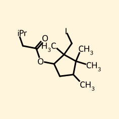 CC(C)CC(=O)OC1CC(C)C(C)(C)C1(C)CI